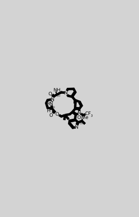 CO[C@@H](C)c1ncccc1-c1c2c3cc(ccc3n1CC(F)(F)F)C1=CCCN(C1)C[C@H](N)C(=O)N1CCC[C@H](N1)C(=O)OCC(C)(C)C2